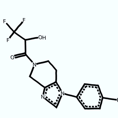 O=C(C(O)C(F)(F)F)N1CCc2c(ncn2-c2ccc(F)cc2)C1